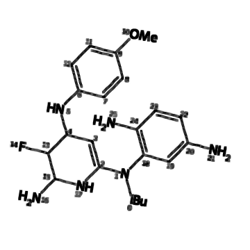 CCC(C)N(C1=CC(Nc2ccc(OC)cc2)C(F)C(N)N1)c1cc(N)ccc1N